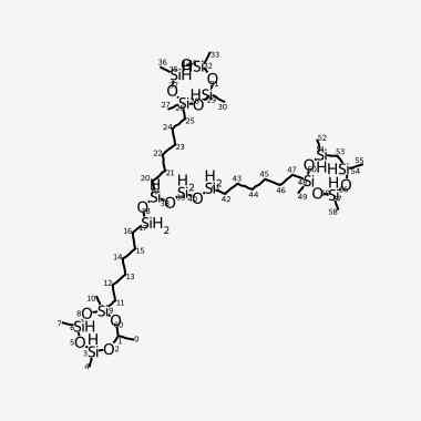 CC1O[SiH](C)O[SiH](C)O[Si](C)(CCCCCC[SiH2]O[SiH](CCCCCC[Si]2(C)O[SiH](C)O[SiH](C)O[SiH](C)O2)O[SiH2]O[SiH2]CCCCCC[Si]2(C)O[SiH](C)C[SiH](C)O[SiH](C)O2)O1